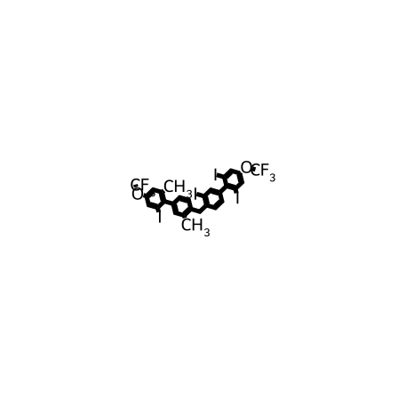 Cc1cc(-c2c(C)cc(OC(F)(F)F)cc2I)ccc1Cc1ccc(-c2c(I)cc(OC(F)(F)F)cc2I)cc1I